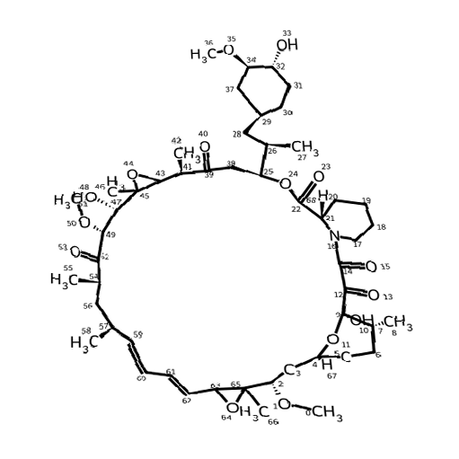 CO[C@H]1C[C@@H]2CC[C@@H](C)[C@@](O)(O2)C(=O)C(=O)N2CCCC[C@H]2C(=O)O[C@H]([C@H](C)C[C@@H]2CC[C@@H](O)[C@H](OC)C2)CC(=O)[C@H](C)C2OC2(C)[C@@H](O)[C@@H](OC)C(=O)[C@H](C)C[C@H](C)/C=C/C=C/C2OC21C